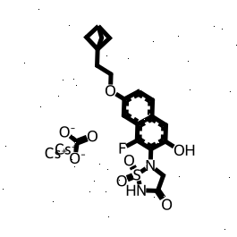 O=C([O-])[O-].O=C1CN(c2c(O)cc3ccc(OCCC45CC(C4)C5)cc3c2F)S(=O)(=O)N1.[Cs+].[Cs+]